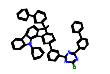 CC1(c2cccc(-c3ccccc3)c2)c2ccc(-c3cccc(-c4nc(Cl)nc(-c5cccc(-c6ccccc6)c5)n4)c3)cc2-c2c1ccc1c3ccccc3n(-c3ccccc3)c21